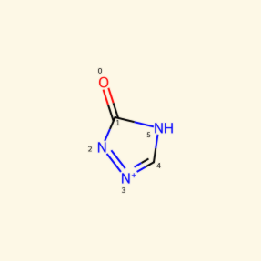 O=C1N=[N+]=CN1